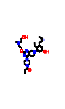 C=CC(=O)N1CCN(c2nc(OCCN(C)CCO)nc3c2CCN(c2cc(O)cc(C/C=C\C)c2C=C)C3)CC1